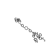 COC(=O)CCCOCC1CCC(COCCNC(=O)[C@H]2CC(=O)N(C)[C@@H]2c2cccnc2)CC1